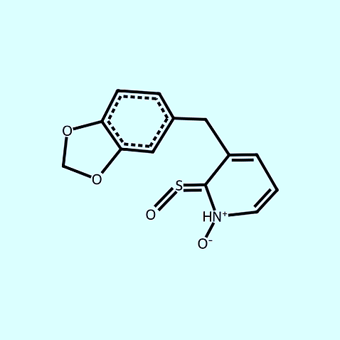 O=S=C1C(Cc2ccc3c(c2)OCO3)=CC=C[NH+]1[O-]